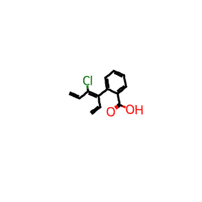 C=CC(Cl)=C(C=C)c1ccccc1C(=O)O